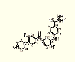 CN1CCN(c2ccc(Nc3ncc(F)c(Nc4ccc(C(=O)NN)cc4)n3)cc2F)CC1